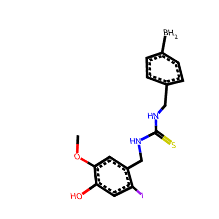 Bc1ccc(CNC(=S)NCc2cc(OC)c(O)cc2I)cc1